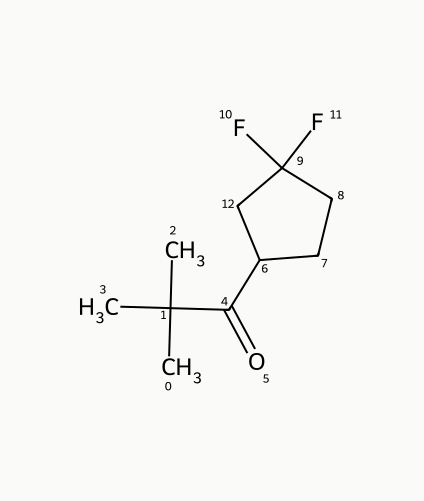 CC(C)(C)C(=O)C1CCC(F)(F)C1